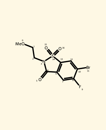 COCCN1C(=O)c2cc(F)c(Br)cc2S1(=O)=O